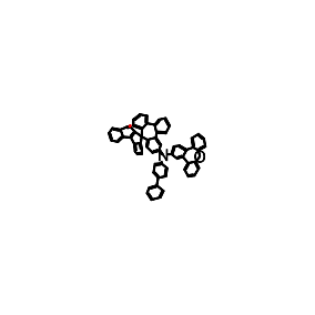 c1ccc(-c2ccc(N(c3ccc4c(c3)-c3ccccc3Oc3ccccc3-4)c3ccc4c(c3)-c3ccccc3-c3ccccc3C43c4ccccc4-c4c3ccc3ccccc43)cc2)cc1